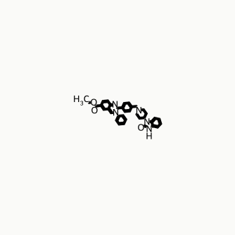 CCOC(=O)c1ccc2c(c1)=CN(c1ccccc1)C(c1ccc(CN3CCC(n4c(=O)[nH]c5ccccc54)CC3)cc1)N=2